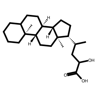 CC(CC(O)C(=O)O)[C@H]1CC[C@H]2[C@@H]3CCC4CCCC[C@]4(C)[C@H]3CC[C@]12C